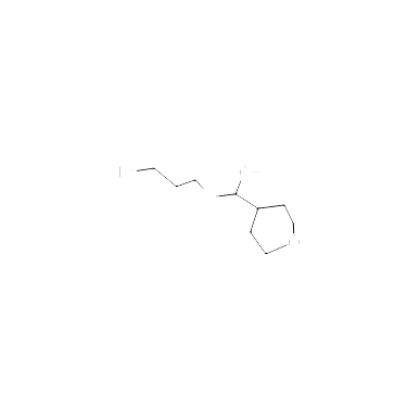 CC(OCCCBr)C1CCOCC1